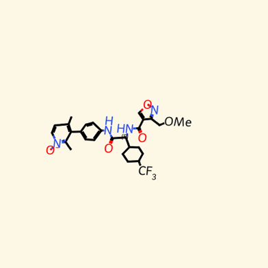 COCc1nocc1C(=O)N[C@H](C(=O)Nc1ccc(-c2c(C)cc[n+]([O-])c2C)cc1)C1CCC(C(F)(F)F)CC1